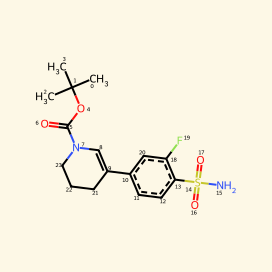 CC(C)(C)OC(=O)N1C=C(c2ccc(S(N)(=O)=O)c(F)c2)CCC1